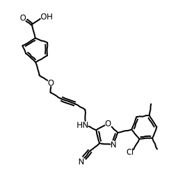 Cc1cc(C)c(Cl)c(-c2nc(C#N)c(NCC#CCOCc3ccc(C(=O)O)cc3)o2)c1